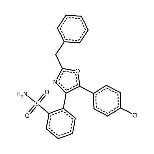 NS(=O)(=O)c1ccccc1-c1nc(Cc2ccccc2)oc1-c1ccc(Cl)cc1